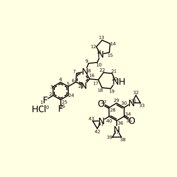 Cl.Fc1ccc(-c2cn(CCN3CCCC3)c(C3CCNCC3)n2)cc1F.O=C1C=C(N2CC2)C(=O)C(N2CC2)=C1N1CC1